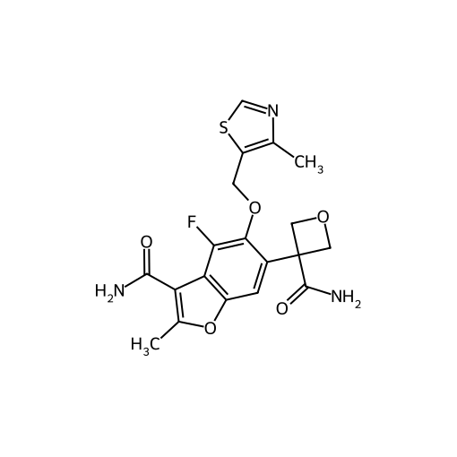 Cc1ncsc1COc1c(C2(C(N)=O)COC2)cc2oc(C)c(C(N)=O)c2c1F